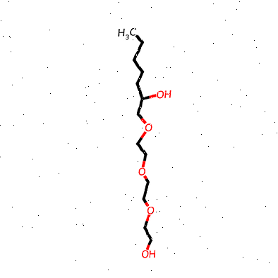 CCCCCC(O)COCCOCCOCCO